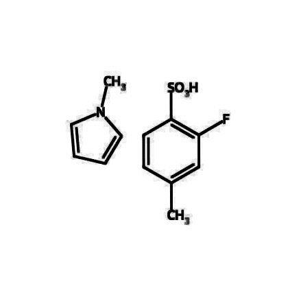 Cc1ccc(S(=O)(=O)O)c(F)c1.Cn1cccc1